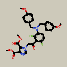 COC(=O)c1ncn(CC(=O)c2c(F)ccc(N(Cc3ccc(OC)cc3)Cc3ccc(OC)cc3)c2F)c1C(=O)OC